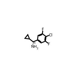 N[C@@H](c1cc(F)c(Cl)c(F)c1)C1CC1